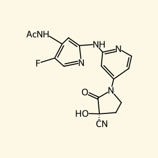 CC(=O)Nc1cc(Nc2cc(N3CC[C@](O)(C#N)C3=O)ccn2)ncc1F